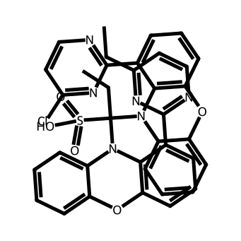 CCc1ccnc(-c2cccc3c2N(C(CC)(N2c4ccccc4Oc4cccc(-c5nccc(Cl)n5)c42)S(=O)(=O)O)c2ccccc2O3)n1